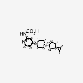 C1CC1.O=C(O)Nc1cc(N2CCN(C3CCCC3)CC2)ccn1